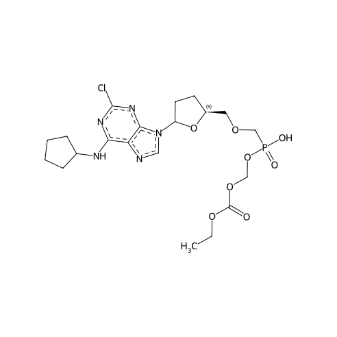 CCOC(=O)OCOP(=O)(O)COC[C@@H]1CCC(n2cnc3c(NC4CCCC4)nc(Cl)nc32)O1